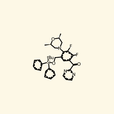 C[C@@H]1CN(c2c(CO[Si](c3ccccc3)(c3ccccc3)C(C)(C)C)cc(C(=O)c3ncccn3)c(F)c2F)C[C@H](C)O1